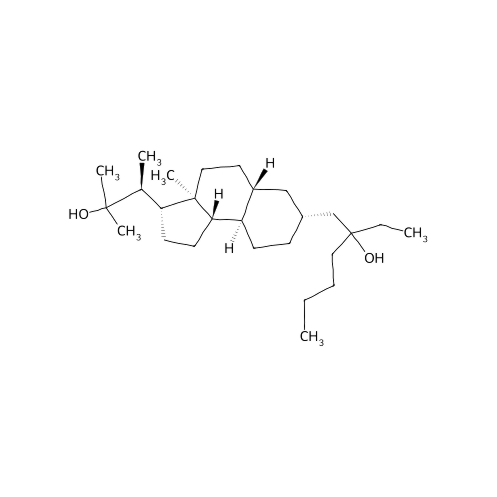 CCCCC(O)(CC)C[C@@H]1CC[C@@H]2[C@H](CC[C@]3(C)[C@@H]([C@H](C)C(C)(C)O)CC[C@@H]23)C1